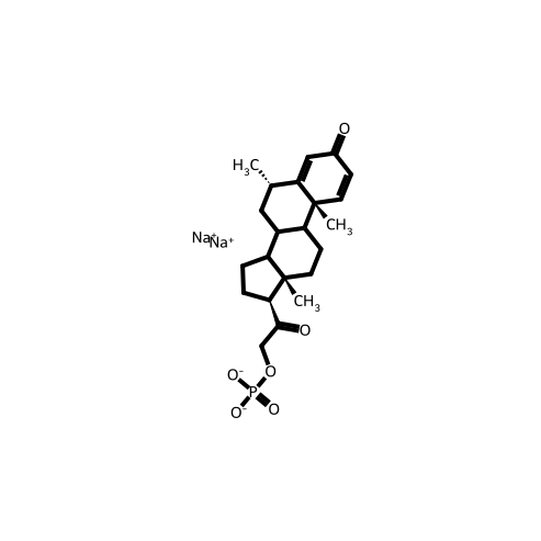 C[C@H]1CC2C(CC[C@@]3(C)C2CC[C@@H]3C(=O)COP(=O)([O-])[O-])[C@@]2(C)C=CC(=O)C=C12.[Na+].[Na+]